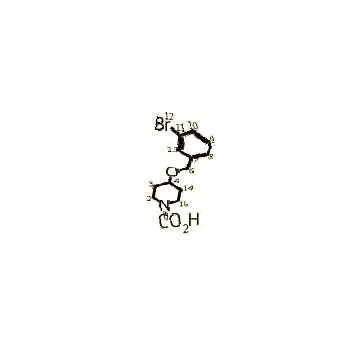 O=C(O)N1CCC(OCc2cccc(Br)c2)CC1